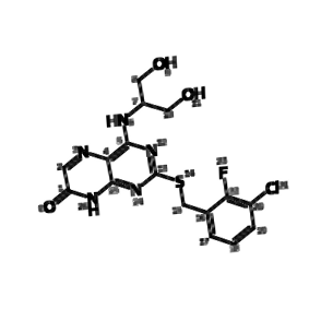 O=c1cnc2c(NC(CO)CO)nc(SCc3cccc(Cl)c3F)nc2[nH]1